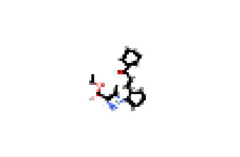 CCOC(=O)c1nnn(-c2ccccc2/C=C/C(=O)c2ccccc2)c1C